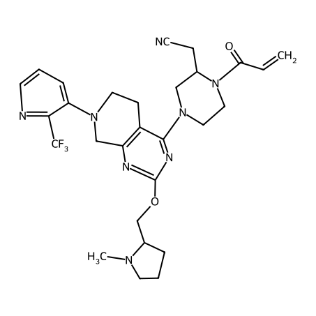 C=CC(=O)N1CCN(c2nc(OCC3CCCN3C)nc3c2CCN(c2cccnc2C(F)(F)F)C3)CC1CC#N